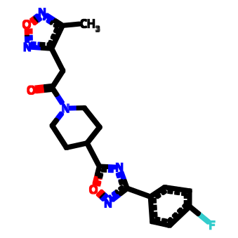 Cc1nonc1CC(=O)N1CCC(c2nc(-c3ccc(F)cc3)no2)CC1